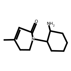 CC1=CC(=O)N(C2CCCCC2N)CC1